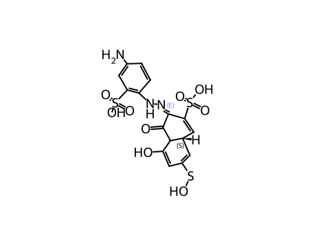 Nc1ccc(N/N=C2\C(=O)C3C(O)=CC(SO)=C[C@H]3C=C2S(=O)(=O)O)c(S(=O)(=O)O)c1